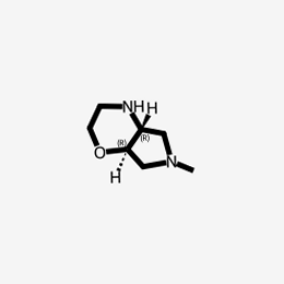 CN1C[C@H]2NCCO[C@@H]2C1